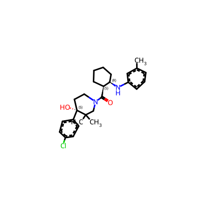 Cc1cccc(N[C@@H]2CCCC[C@@H]2C(=O)N2CC[C@](O)(c3ccc(Cl)cc3)C(C)(C)C2)c1